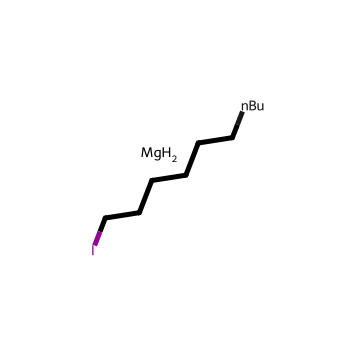 CCCCCCCCCCI.[MgH2]